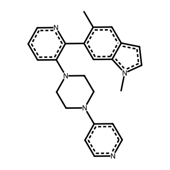 Cc1cc2ccn(C)c2cc1-c1ncccc1N1CCN(c2ccncc2)CC1